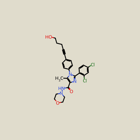 Cc1c(C(=O)NN2CCOCC2)nc(-c2ccc(Cl)cc2Cl)n1-c1ccc(C#CCCCO)cc1